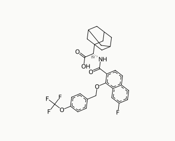 O=C(N[C@H](C(=O)O)C12CC3CC(CC(C3)C1)C2)c1ccc2ccc(F)cc2c1OCc1ccc(OC(F)(F)F)cc1